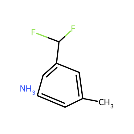 Cc1cccc(C(F)F)c1.N